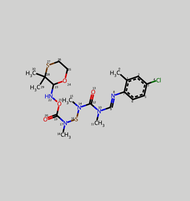 Cc1cc(Cl)ccc1N=CN(C)C(=O)N(C)SN(C)C(=O)ONC1OCCSC1(C)C